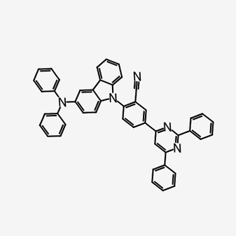 N#Cc1cc(-c2cc(-c3ccccc3)nc(-c3ccccc3)n2)ccc1-n1c2ccccc2c2cc(N(c3ccccc3)c3ccccc3)ccc21